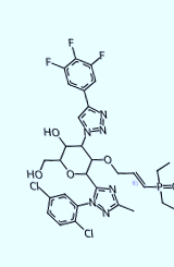 CCP(=O)(/C=C/COC1C(c2nc(C)nn2-c2cc(Cl)ccc2Cl)OC(CO)C(O)C1n1cc(-c2cc(F)c(F)c(F)c2)nn1)CC